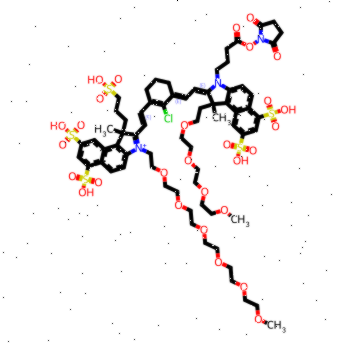 COCCOCCOCCOCCOCCOCC[N+]1=C(/C=C/C2=C(Cl)C(=C/C=C3/N(CCCC(=O)ON4C(=O)CCC4=O)c4ccc5c(S(=O)(=O)O)cc(S(=O)(=O)O)cc5c4C3(C)CCOCCOCCOCCOC)/CCC2)C(C)(CCCS(=O)(=O)O)c2c1ccc1c(S(=O)(=O)O)cc(S(=O)(=O)O)cc21